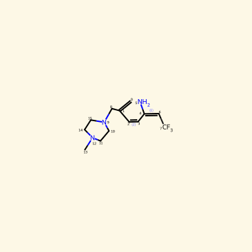 C=C(/C=C\C(N)=C/C(F)(F)F)CN1CCN(C)CC1